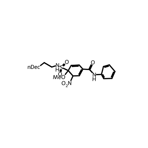 CCCCCCCCCCCCNS(=O)(=O)C1(OC)C=CC(C(=O)Nc2ccccc2)=CC1[N+](=O)[O-]